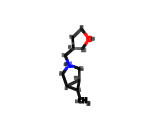 CC1C2CN(CC3CCOC3)CC12